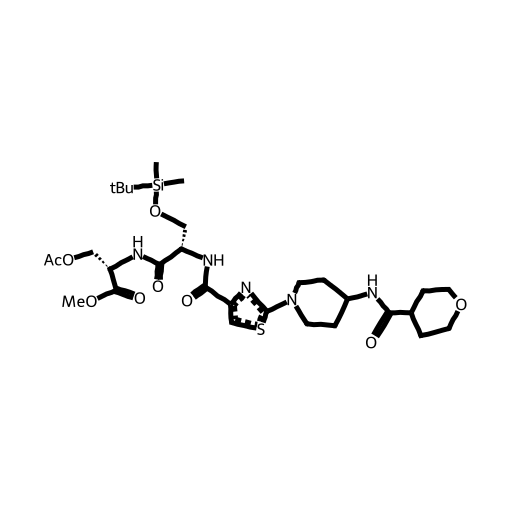 COC(=O)[C@H](COC(C)=O)NC(=O)[C@H](CO[Si](C)(C)C(C)(C)C)NC(=O)c1csc(N2CCC(NC(=O)C3CCOCC3)CC2)n1